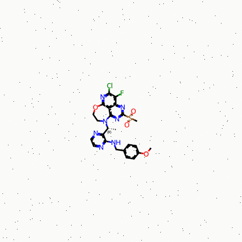 COc1ccc(CNc2nccnc2[C@@H](C)N2CCOc3nc(Cl)c(F)c4nc(S(C)(=O)=O)nc2c34)cc1